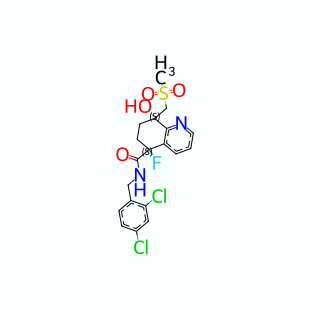 CS(=O)(=O)C[C@]1(O)CC[C@@](F)(C(=O)NCc2ccc(Cl)cc2Cl)c2cccnc21